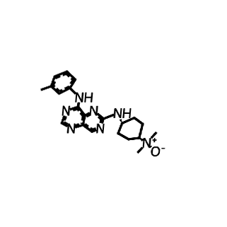 Cc1cccc(Nc2ncnc3cnc(N[C@H]4CC[C@H]([N+](C)(C)[O-])CC4)nc23)c1